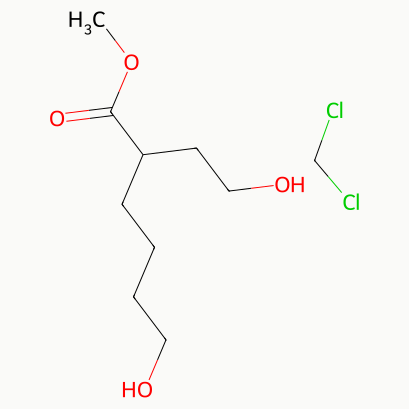 COC(=O)C(CCO)CCCCO.ClCCl